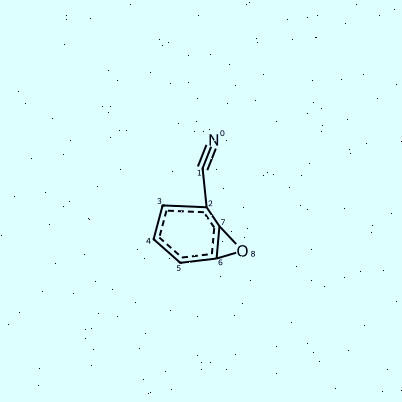 N#Cc1cccc2c1O2